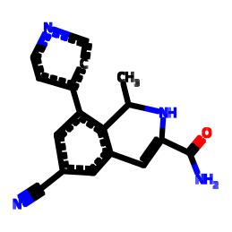 CC1NC(C(N)=O)=Cc2cc(C#N)cc(-c3ccncc3)c21